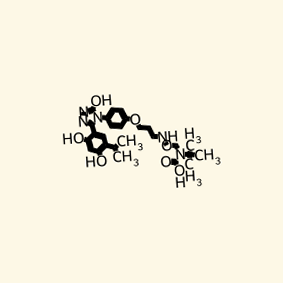 CC(C)c1cc(-c2nnc(O)n2-c2ccc(OCCCNOCN(C(=O)O)C(C)(C)C)cc2)c(O)cc1O